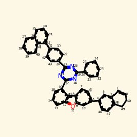 C1=Cc2cc(-c3ccc4c(c3)oc3cccc(-c5nc(-c6ccccc6)nc(-c6ccc(-c7cccc8ccccc78)cc6)n5)c34)ccc2CC1